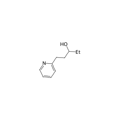 CCC(O)CCc1ccccn1